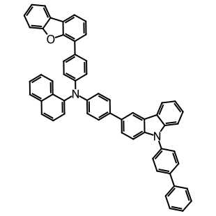 c1ccc(-c2ccc(-n3c4ccccc4c4cc(-c5ccc(N(c6ccc(-c7cccc8c7oc7ccccc78)cc6)c6cccc7ccccc67)cc5)ccc43)cc2)cc1